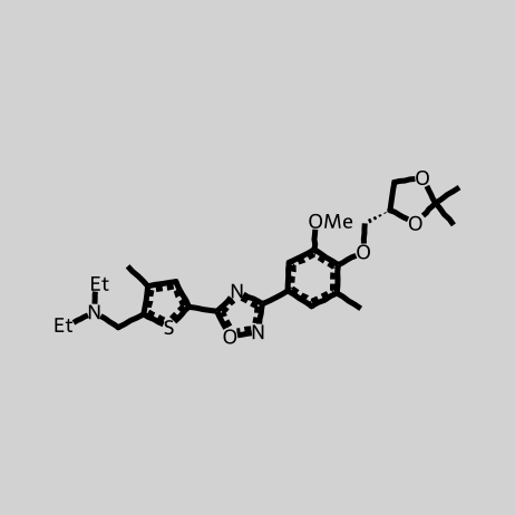 CCN(CC)Cc1sc(-c2nc(-c3cc(C)c(OC[C@@H]4COC(C)(C)O4)c(OC)c3)no2)cc1C